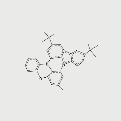 Cc1cc2c3c(c1)-n1c4ccc(C(C)(C)C)cc4c4cc(C(C)(C)C)cc(c41)B3c1ccccc1O2